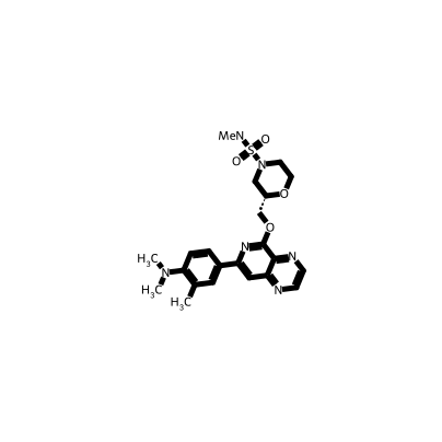 CNS(=O)(=O)N1CCO[C@H](COc2nc(-c3ccc(N(C)C)c(C)c3)cc3nccnc23)C1